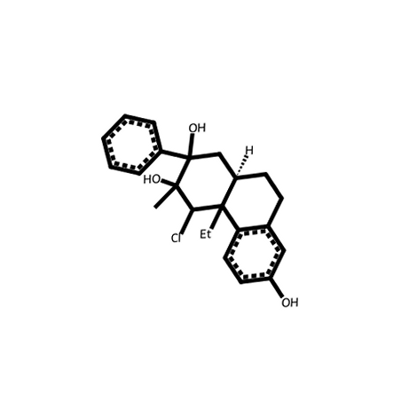 CCC12c3ccc(O)cc3CC[C@@H]1CC(O)(c1ccccc1)C(C)(O)C2Cl